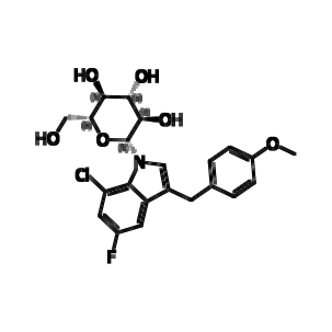 COc1ccc(Cc2cn([C@@H]3O[C@H](CO)[C@@H](O)[C@H](O)[C@H]3O)c3c(Cl)cc(F)cc23)cc1